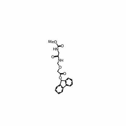 COC(=O)NCC(=O)NCOCC(=O)OC1c2ccccc2-c2ccccc21